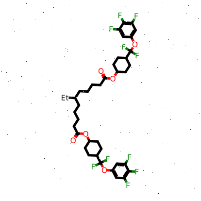 CCC(CCCCC(=O)OC1CCC(C(F)(F)Oc2cc(F)c(F)c(F)c2)CC1)CCCCC(=O)OC1CCC(C(F)(F)Oc2cc(F)c(F)c(F)c2)CC1